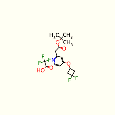 CC(C)(C)OC(=O)Cc1cc(OC2CC(F)(F)C2)ccn1.O=C(O)C(F)(F)F